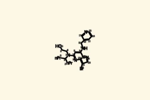 CCCC(CCC)N(CCO)c1cc(NCc2cccnc2)n2ncc(Br)c2n1